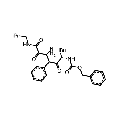 CC[C@H](C)[C@H](NC(=O)OCc1ccccc1)C(=O)C(c1ccccc1)[C@H](N)C(=O)C(=O)NCC(C)C